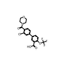 O=C(O)c1cc(-c2ccc(C(=O)N3CCOCC3)c(Cl)c2)ccc1OC(F)(F)F